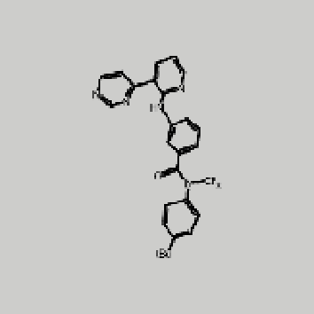 CC(C)(C)c1ccc(N(C(=O)c2cccc(Nc3ncccc3-c3ccncn3)c2)C(F)(F)F)cc1